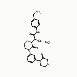 Cl.NCc1ccc(NC(=O)C(O)C2OCCN(c3cccc(N4CCOCC4=O)c3)C2=O)cc1